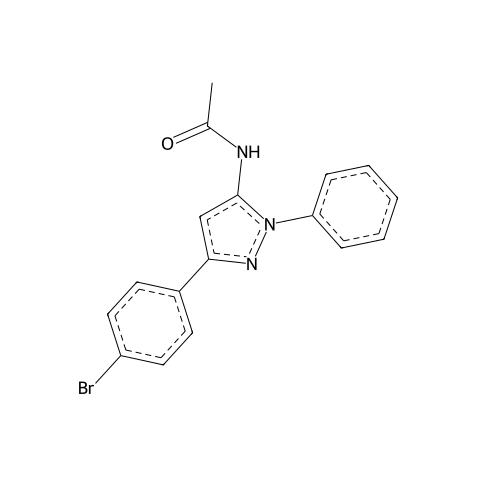 CC(=O)Nc1cc(-c2ccc(Br)cc2)nn1-c1ccccc1